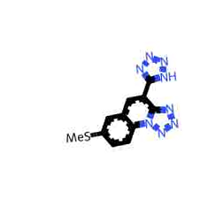 CSc1ccc2c(c1)cc(-c1nnn[nH]1)c1nnnn12